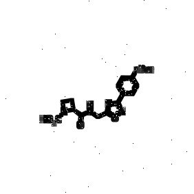 CCCCCCCCCCc1ccc(-c2noc(CNC(=O)[C@@H]3CCN3C(=O)O)n2)cc1